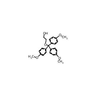 COc1ccc(C(OCCO)(c2ccc(OC)cc2)c2ccc(OC)cc2)cc1